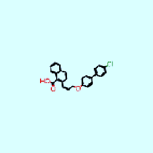 O=C(O)c1c(/C=C\COc2ccc(-c3ccc(Cl)cc3)cc2)ccc2ccccc12